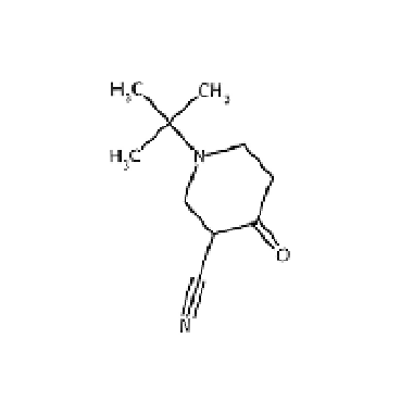 CC(C)(C)N1CCC(=O)C(C#N)C1